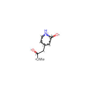 COC(=O)Cc1cc[nH]c(=O)c1